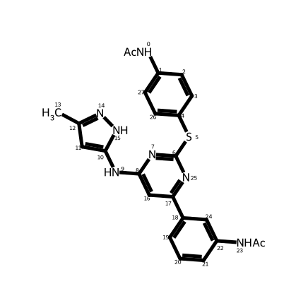 CC(=O)Nc1ccc(Sc2nc(Nc3cc(C)n[nH]3)cc(-c3cccc(NC(C)=O)c3)n2)cc1